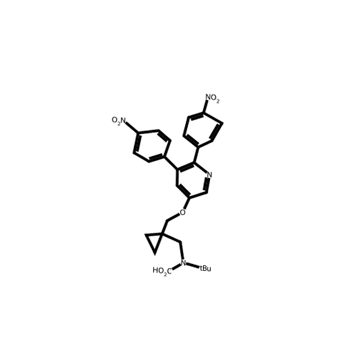 CC(C)(C)N(CC1(COc2cnc(-c3ccc([N+](=O)[O-])cc3)c(-c3ccc([N+](=O)[O-])cc3)c2)CC1)C(=O)O